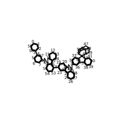 c1ccc(-c2cccc(-n3c4ccccc4c4c(-c5ccc6c(c5)c5ccccc5n6-c5ccc6c(c5)-c5ccccc5C65C6CC7CC(C6)CC5C7)cccc43)c2)cc1